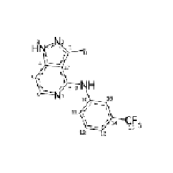 Cc1n[nH]c2ccnc(Nc3cccc(C(F)(F)F)c3)c12